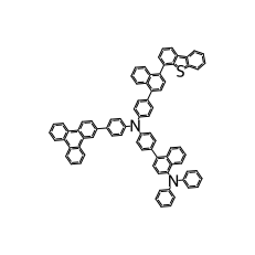 c1ccc(N(c2ccccc2)c2ccc(-c3ccc(N(c4ccc(-c5ccc6c7ccccc7c7ccccc7c6c5)cc4)c4ccc(-c5ccc(-c6cccc7c6sc6ccccc67)c6ccccc56)cc4)cc3)c3ccccc23)cc1